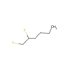 CCCCC(F)CF